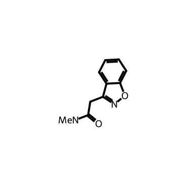 CNC(=O)Cc1noc2ccccc12